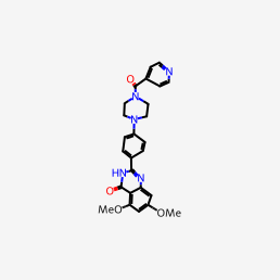 COc1cc(OC)c2c(=O)[nH]c(-c3ccc(N4CCN(C(=O)c5ccncc5)CC4)cc3)nc2c1